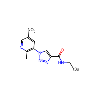 Cc1ncc([N+](=O)[O-])cc1-n1cc(C(=O)NCC(C)(C)C)nn1